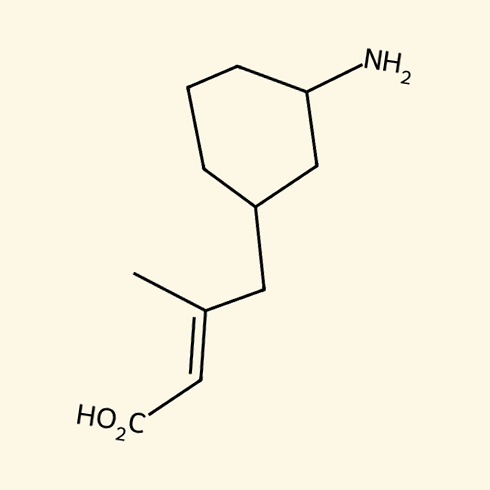 C/C(=C\C(=O)O)CC1CCCC(N)C1